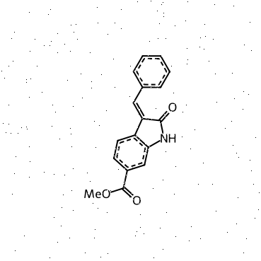 COC(=O)c1ccc2c(c1)NC(=O)C2=Cc1ccccc1